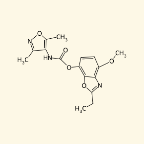 CCc1nc2c(OC)ccc(OC(=O)Nc3c(C)noc3C)c2o1